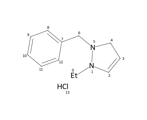 CCN1C=CCN1Cc1ccccc1.Cl